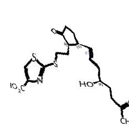 C=C(C)CC[C@@H](O)C/C=C/[C@@H]1CCC(=O)[C@@H]1CCSc1nc(C(=O)O)cs1